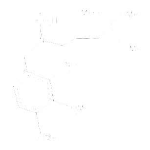 COc1ccc(CN(CCC[Si](OC)(OC)OC)C(=O)O)c([N+](=O)[O-])c1OC